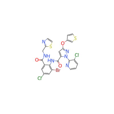 O=C(NCc1nccs1)c1cc(Cl)cc(Br)c1NC(=O)c1cc(Oc2ccsc2)nn1-c1ncccc1Cl